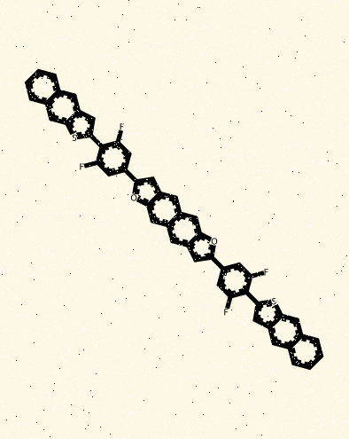 Fc1cc(-c2cc3cc4cc5oc(-c6cc(F)c(-c7cc8cc9ccccc9cc8s7)c(F)c6)cc5cc4cc3o2)cc(F)c1-c1cc2cc3ccccc3cc2s1